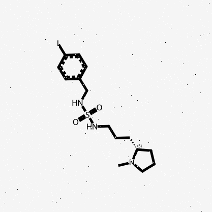 CN1CCC[C@H]1CCCNS(=O)(=O)NCc1ccc(I)cc1